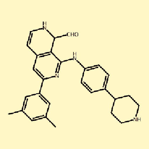 Cc1cc(C)cc(-c2cc3c(c(Nc4ccc(C5CCNCC5)cc4)n2)C(C=O)NC=C3)c1